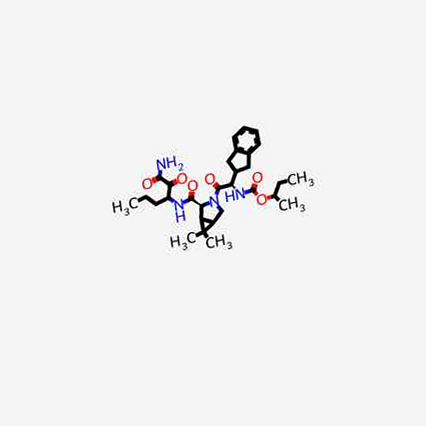 CCCC(NC(=O)[C@@H]1C2C(CN1C(=O)[C@@H](NC(=O)OC(C)CC)C1Cc3ccccc3C1)C2(C)C)C(=O)C(N)=O